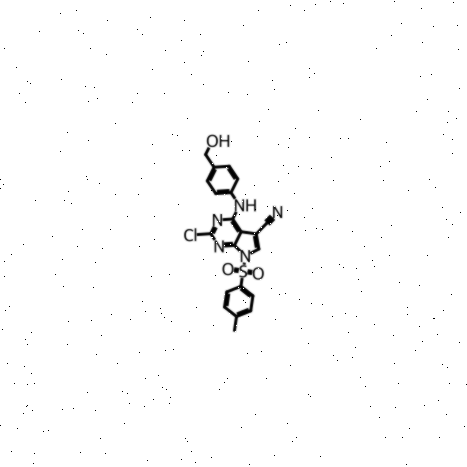 Cc1ccc(S(=O)(=O)n2cc(C#N)c3c(Nc4ccc(CO)cc4)nc(Cl)nc32)cc1